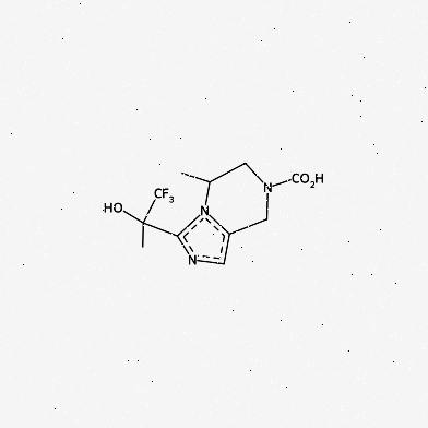 CC1CN(C(=O)O)Cc2cnc(C(C)(O)C(F)(F)F)n21